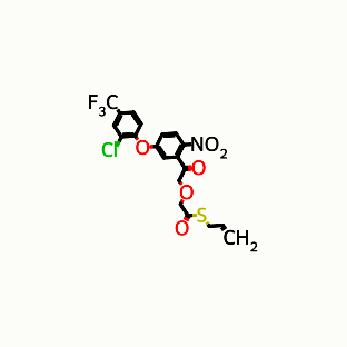 C=CCSC(=O)COCC(=O)c1cc(Oc2ccc(C(F)(F)F)cc2Cl)ccc1[N+](=O)[O-]